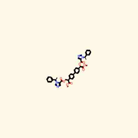 COC(=O)C(COC(=O)c1cncn1[C@H](C)c1ccccc1)c1ccc(-c2ccc(C(OC(=O)c3cncn3[C@H](C)c3ccccc3)C(=O)OC)cc2)cc1